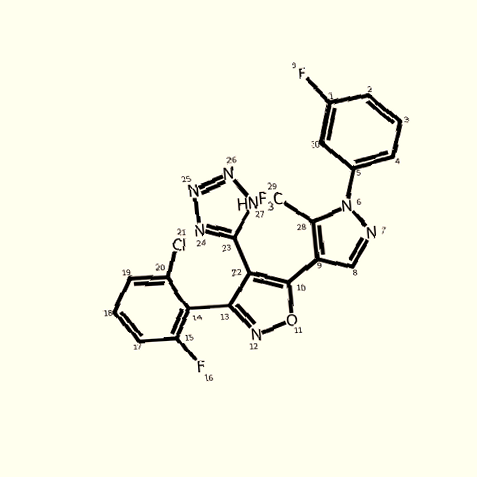 Fc1cccc(-n2ncc(-c3onc(-c4c(F)cccc4Cl)c3-c3nnn[nH]3)c2C(F)(F)F)c1